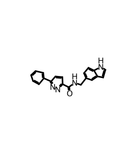 O=C(NCc1ccc2[nH]ccc2c1)c1ccc(-c2ccccc2)nn1